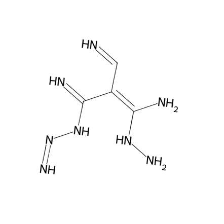 N=C/C(C(=N)NN=N)=C(\N)NN